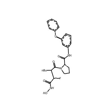 CCCCC(C(=O)N1CCCC1C(=O)Nc1cccc(Oc2ccccc2)c1)C(F)C(=O)NO